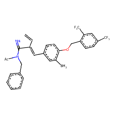 Bc1cc(/C=C(\C=C)C(=N)N(Cc2ccccc2)C(C)=O)ccc1OCc1ccc(C(F)(F)F)cc1C(F)(F)F